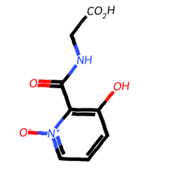 O=C(O)CNC(=O)c1c(O)ccc[n+]1[O-]